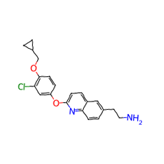 NCCc1ccc2nc(Oc3ccc(OCC4CC4)c(Cl)c3)ccc2c1